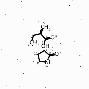 C=C(CC)C(=O)O.O=C1CCCN1